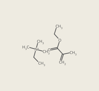 C=C(C)C(=O)OCC.CC[N+](C)(C)C